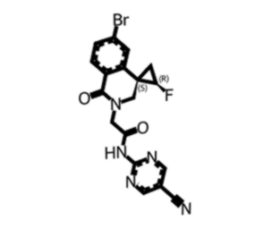 N#Cc1cnc(NC(=O)CN2C[C@]3(C[C@H]3F)c3cc(Br)ccc3C2=O)nc1